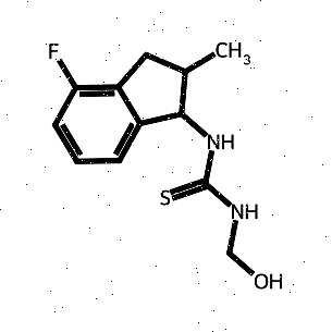 CC1Cc2c(F)cccc2C1NC(=S)NCO